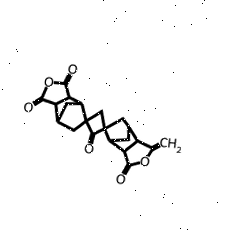 C=C1OC(=O)C2C1C1CC2C2(C1)CC1(CC3CC1C1C(=O)OC(=O)C31)C2=O